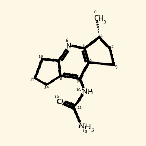 C[C@@H]1CCc2c1nc1c(c2NC(N)=O)CCC1